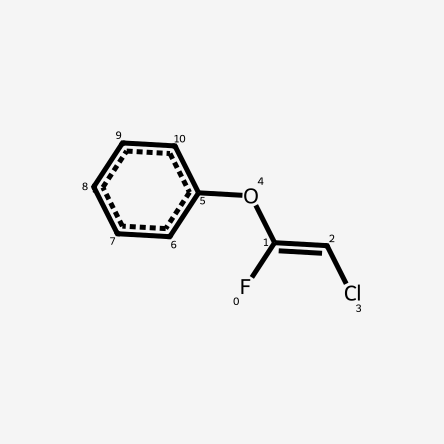 F/C(=C\Cl)Oc1cc[c]cc1